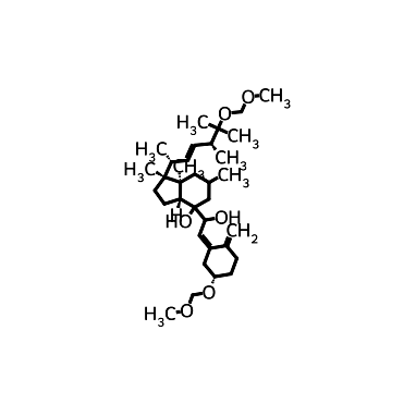 C=C1CC[C@H](OCOC)C/C1=C/C(O)C1(O)CC(C)C[C@@]2(C)[C@H]1CC[C@]2(C)[C@H](C)/C=C/[C@H](C)C(C)(C)OCOC